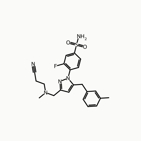 Cc1cccc(Cc2cc(CN(C)CCC#N)nn2-c2ccc(S(N)(=O)=O)cc2F)c1